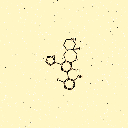 Oc1cccc(F)c1-c1cc(-n2cccn2)c2c(c1Cl)OC[C@H]1CNCCN1C2